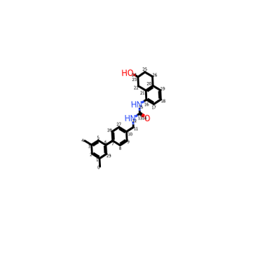 Cc1cc(C)cc(-c2ccc(CNC(=O)Nc3cccc4c3CC(O)CC4)cc2)c1